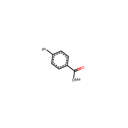 [CH2]C(C)c1ccc(C(=O)OC)cc1